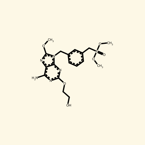 COc1nc2c(N)nc(OCCO)nc2n1Cc1cccc(CP(=O)(OC)OC)c1